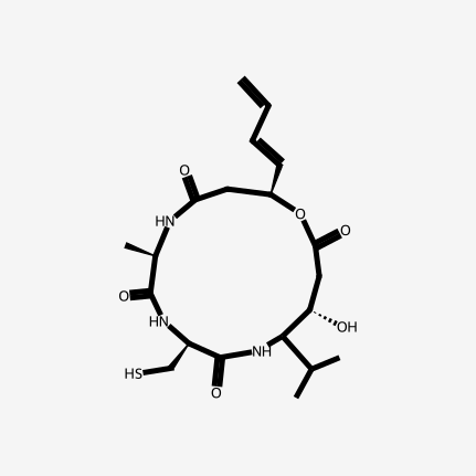 C=C/C=C/[C@@H]1CC(=O)N[C@H](C)C(=O)N[C@H](CS)C(=O)NC(C(C)C)[C@@H](O)CC(=O)O1